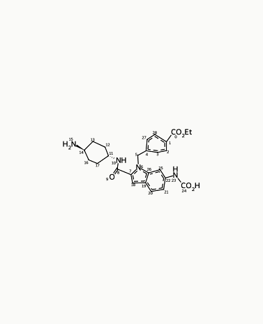 CCOC(=O)c1ccc(Cn2c(C(=O)N[C@H]3CC[C@H](N)CC3)cc3ccc(NC(=O)O)cc32)cc1